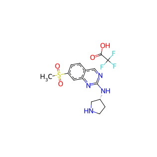 CS(=O)(=O)c1ccc2cnc(N[C@@H]3CCNC3)nc2c1.O=C(O)C(F)(F)F